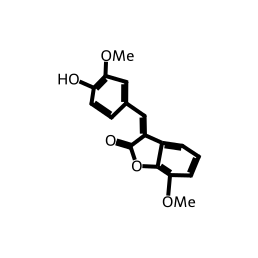 COc1cc(/C=C2\C(=O)Oc3c(OC)cccc32)ccc1O